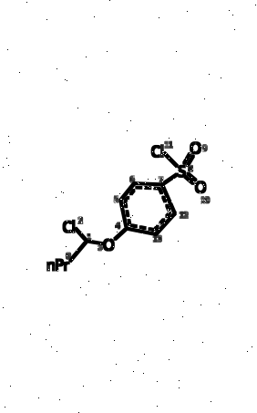 CCCC(Cl)Oc1ccc(S(=O)(=O)Cl)cc1